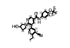 CCc1ncc(-c2cc(C(=O)Nc3ccc(OC(F)(F)Cl)cc3)cnc2N2CC[C@@H](O)C2)cc1C#N